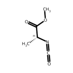 COC(=O)[C@@H](C)N=C=O